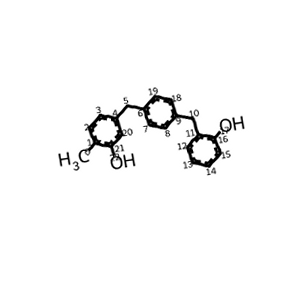 Cc1ccc(Cc2ccc(Cc3ccccc3O)cc2)cc1O